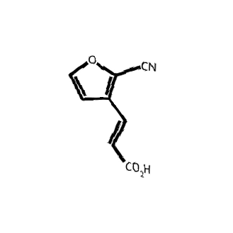 N#Cc1occc1C=CC(=O)O